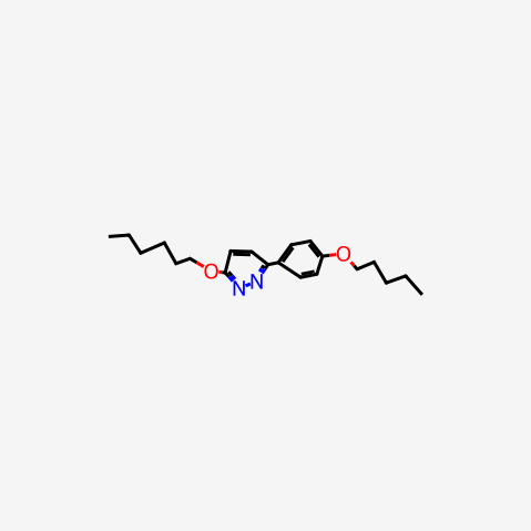 CCCCCCOc1ccc(-c2ccc(OCCCCC)cc2)nn1